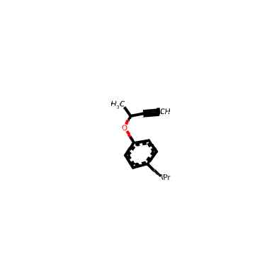 C#CC(C)Oc1ccc(C(C)C)cc1